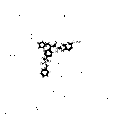 COc1ccc2nc(NC(=O)C(CC3CCCC3)c3ccc(S(=O)(=O)N(F)Cc4ccccc4)cc3)sc2n1